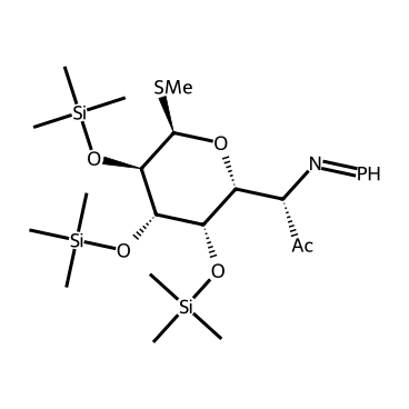 CS[C@H]1O[C@H]([C@H](N=P)C(C)=O)[C@H](O[Si](C)(C)C)[C@H](O[Si](C)(C)C)[C@H]1O[Si](C)(C)C